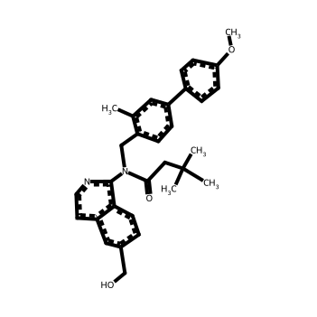 COc1ccc(-c2ccc(CN(C(=O)CC(C)(C)C)c3nccc4cc(CO)ccc34)c(C)c2)cc1